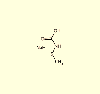 CSNC(=O)O.[NaH]